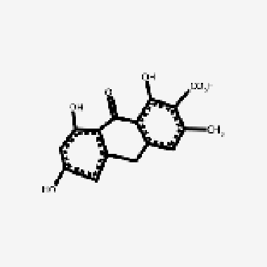 Cc1cc2c(c(O)c1C(=O)O)C(=O)c1c(O)cc(O)cc1C2